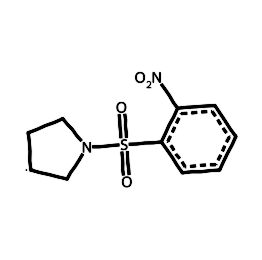 O=[N+]([O-])c1ccccc1S(=O)(=O)N1C[CH]CC1